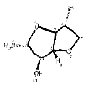 B[C@@H]1OC2[C@H](C)CO[C@@H]2[C@H]1O